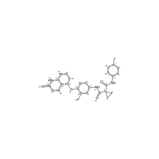 Cc1ccc(NC(=O)C2(C(=O)Nc3ccc(Oc4ccnc5[nH]c(=O)cnc45)c(F)c3)CC2)cc1